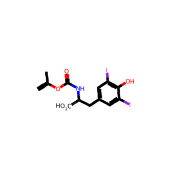 C=C(C)OC(=O)NC(Cc1cc(I)c(O)c(I)c1)C(=O)O